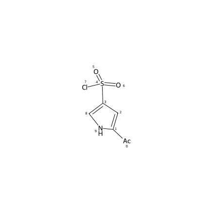 CC(=O)c1cc(S(=O)(=O)Cl)c[nH]1